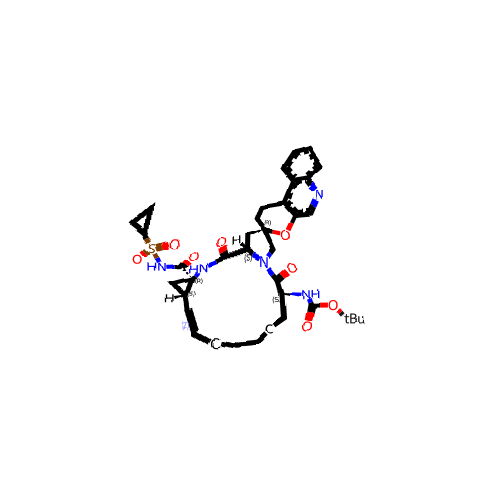 CC(C)(C)OC(=O)N[C@H]1CCCCC/C=C\[C@@H]2C[C@@]2(C(=O)NS(=O)(=O)C2CC2)NC(=O)[C@@H]2C[C@]3(CCc4c(cnc5ccccc45)O3)CN2C1=O